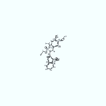 CCOP(=O)(OCC)C(Cc1ccc(F)c(OC)c1)c1sc2ccccc2c1Br